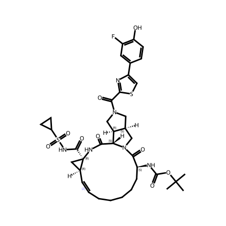 CC(C)(C)OC(=O)N[C@H]1CCCCC/C=C\[C@H]2C[C@@]2(C(=O)NS(=O)(=O)C2CC2)NC(=O)[C@@H]2[C@H]3CN(C(=O)c4nc(-c5ccc(O)c(F)c5)cs4)C[C@H]3CN2C1=O